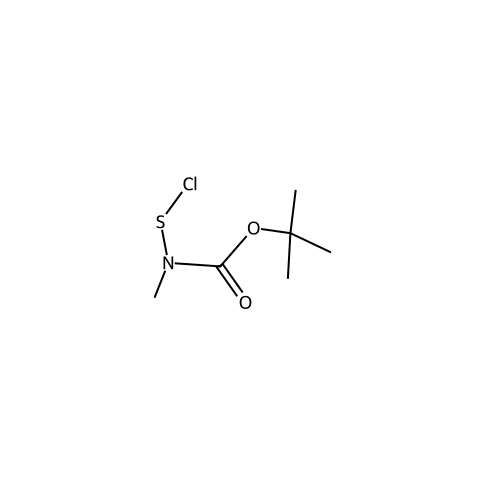 CN(SCl)C(=O)OC(C)(C)C